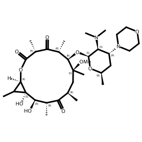 CO[C@@]1(C)C[C@@H](C)C(=O)[C@H](C)[C@@H](O)[C@@]2(O)C(C)[C@H]2OC(=O)[C@H](C)C(=O)[C@H](C)[C@H]1O[C@@H]1O[C@H](C)C[C@@H](N2CCOCC2)[C@@H]1N(C)C